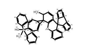 CC1C=CC2=C(Oc3ccccc3C23c2ccccc2-c2ccccc23)C12C1=CC=C(P(C)(O)(c3ccccc3)c3ccccc3)C=CC12